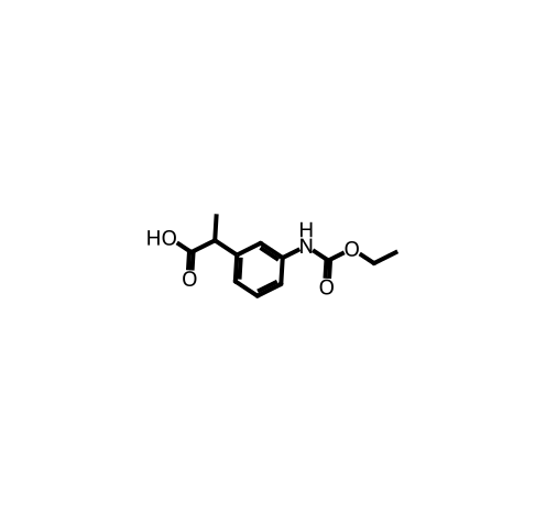 CCOC(=O)Nc1cccc(C(C)C(=O)O)c1